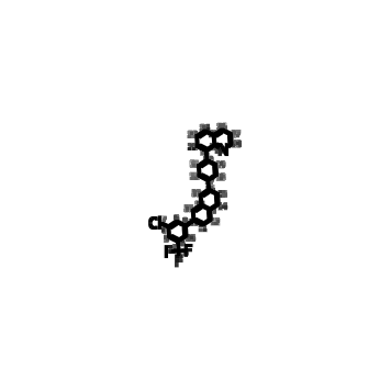 FC(F)(F)c1cc(Cl)cc(-c2ccc3ccc(-c4ccc(-c5cccc6cccnc56)cc4)cc3c2)c1